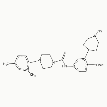 CCCN1CCC(c2cc(NC(=O)N3CCN(c4ccc(C)cc4C)CC3)ccc2OC)CC1